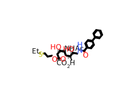 CCSCCCO[C@]1(C(=O)O)C[C@H](O)[C@@H](NC(C)=O)C([C@H](C)[C@H](O)CNC(=O)c2ccc(-c3ccccc3)cc2)O1